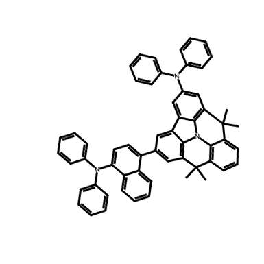 CC1(C)c2cccc3c2-n2c4c1cc(-c1ccc(N(c5ccccc5)c5ccccc5)c5ccccc15)cc4c1cc(N(c4ccccc4)c4ccccc4)cc(c12)C3(C)C